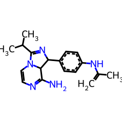 C=C(C)Nc1ccc(C2N=C(C(C)C)N3C=CN=C(N)C23)cc1